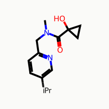 CC(C)c1ccc(CN(C)C(=O)C2(O)CC2)nc1